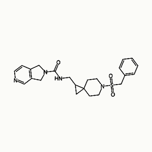 O=C(NCC1CC12CCN(S(=O)(=O)Cc1ccccc1)CC2)N1Cc2ccncc2C1